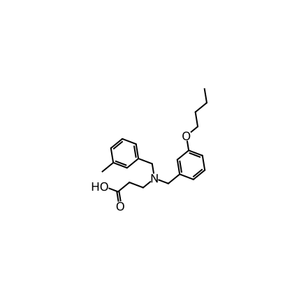 CCCCOc1cccc(CN(CCC(=O)O)Cc2cccc(C)c2)c1